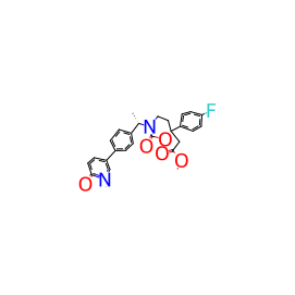 COC(=O)CC1(c2ccc(F)cc2)CCN([C@@H](C)c2ccc(-c3ccc(=O)n(C)c3)cc2)C(=O)O1